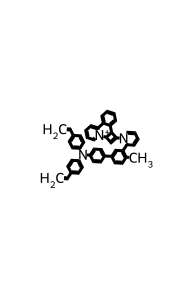 C=Cc1ccc(N(c2ccc(C=C)cc2)c2ccc(-c3ccc(C)c(C4C=CC=CN4C4=CC5C4c4ccccc4-c4cccc[n+]45)c3)cc2)cc1